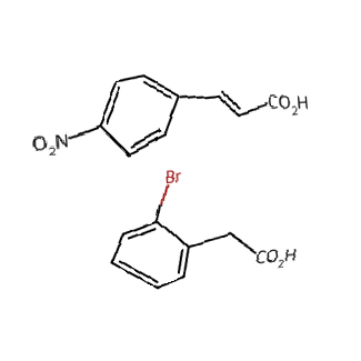 O=C(O)C=Cc1ccc([N+](=O)[O-])cc1.O=C(O)Cc1ccccc1Br